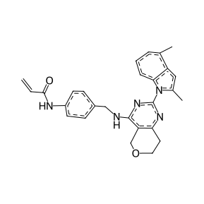 C=CC(=O)Nc1ccc(CNc2nc(-n3c(C)cc4c(C)cccc43)nc3c2COCC3)cc1